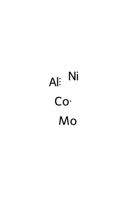 [Al].[Co].[Mo].[Ni]